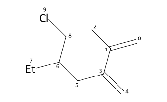 C=C(C)C(=C)CC(CC)CCl